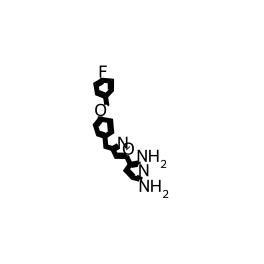 Nc1ccc(-c2cc(Cc3ccc(OCc4ccc(F)cc4)cc3)no2)c(N)n1